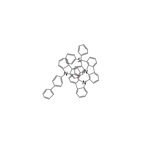 c1ccc(-c2ccc(-n3c4ccccc4c4cc(-n5c6c(-n7c8ccccc8c8ccccc87)cccc6c6cccc([Si](c7ccccc7)(c7ccccc7)c7ccccc7)c65)ccc43)cc2)cc1